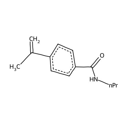 [CH2]CCNC(=O)c1ccc(C(=C)C)cc1